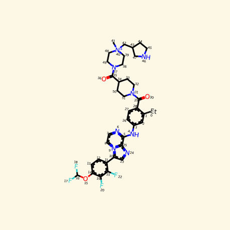 CCc1cc(Nc2nccn3c(-c4ccc(OC(F)F)c(F)c4F)cnc23)ccc1C(=O)N1CCC(C(=O)N2CC[N+](C)(CC3CCNC3)CC2)CC1